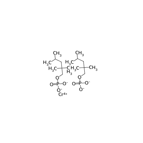 CC(C)CC(C)(C)COP(=O)([O-])[O-].CC(C)CC(C)(C)COP(=O)([O-])[O-].[Cr+4]